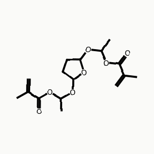 C=C(C)C(=O)OC(C)OC1CCC(OC(C)OC(=O)C(=C)C)O1